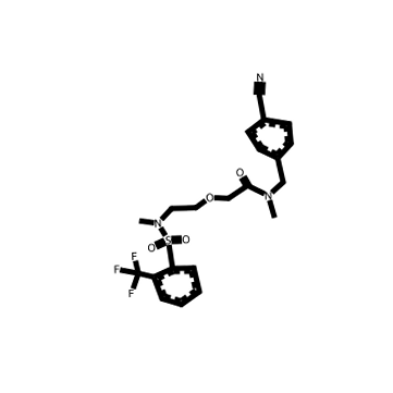 CN(Cc1ccc(C#N)cc1)C(=O)COCCN(C)S(=O)(=O)c1ccccc1C(F)(F)F